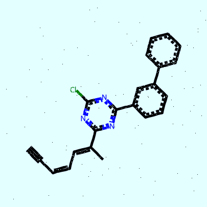 C#C/C=C\C=C(/C)c1nc(Cl)nc(-c2cccc(-c3ccccc3)c2)n1